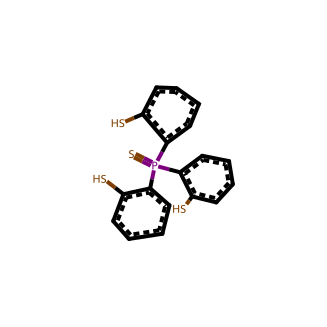 S=P(c1ccccc1S)(c1ccccc1S)c1ccccc1S